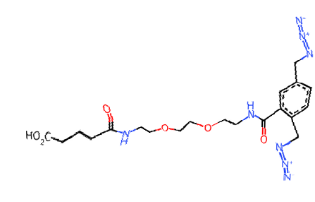 [N-]=[N+]=NCc1ccc(CN=[N+]=[N-])c(C(=O)NCCOCCOCCNC(=O)CCCC(=O)O)c1